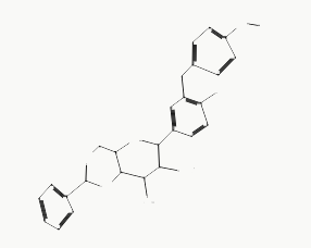 CCOc1ccc(Cc2cc(C3OC4COC(c5ccccc5)OC4C(O)C3OC(C)=O)ccc2Cl)cc1